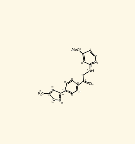 COc1cccc(NCC(=O)c2ccc(-c3noc(C(F)(F)F)n3)cc2)c1